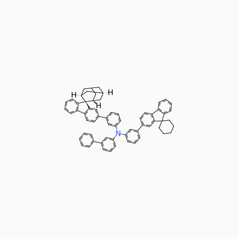 c1ccc(-c2cccc(N(c3cccc(-c4ccc5c(c4)C4(CCCCC4)c4ccccc4-5)c3)c3cccc(-c4ccc5c(c4)[C@]4(c6ccccc6-5)[C@@H]5CC6C[C@@H](C5)C[C@@H]4C6)c3)c2)cc1